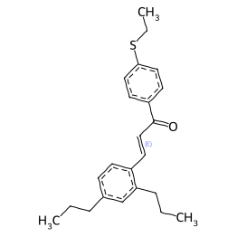 CCCc1ccc(/C=C/C(=O)c2ccc(SCC)cc2)c(CCC)c1